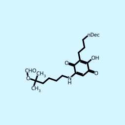 CCCCCCCCCCCCCC1=C(O)C(=O)C=C(NCCCCC(C)(C)OC=O)C1=O